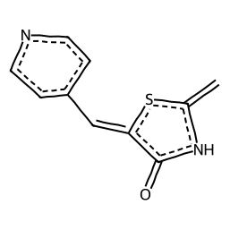 C=c1[nH]c(=O)/c(=C/c2ccncc2)s1